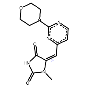 CN1C(=O)NC(=O)/C1=C\c1ccnc(N2CCOCC2)n1